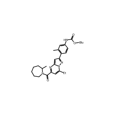 CCc1cc(C(=O)N2CCCCCC2C)nc2cc(-c3ccc(NC(=O)OC(C)(C)C)cc3C)nn12